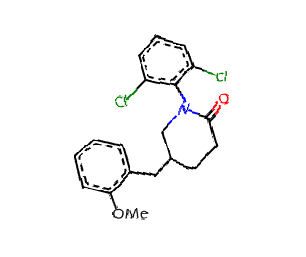 COc1ccccc1CC1CCC(=O)N(c2c(Cl)cccc2Cl)C1